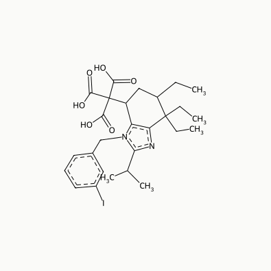 CCC1CC(C(C(=O)O)(C(=O)O)C(=O)O)c2c(nc(C(C)C)n2Cc2cccc(I)c2)C1(CC)CC